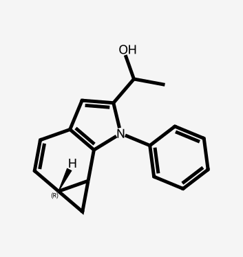 CC(O)c1cc2c(n1-c1ccccc1)C1C[C@@H]1C=C2